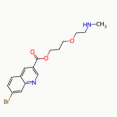 CNCCOCCCOC(=O)c1cnc2cc(Br)ccc2c1